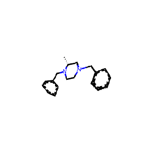 C[C@@H]1CN(Cc2ccccc2)CCN1Cc1ccccc1